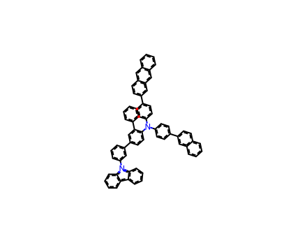 c1ccc(-c2cc(-c3cccc(-n4c5ccccc5c5ccccc54)c3)ccc2N(c2ccc(-c3ccc4ccccc4c3)cc2)c2ccc(-c3ccc4cc5ccccc5cc4c3)cc2)cc1